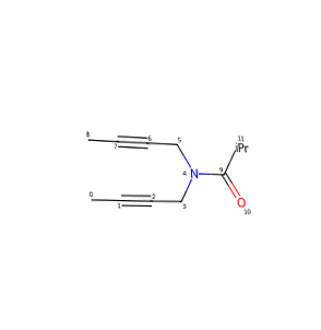 CC#CCN(CC#CC)C(=O)C(C)C